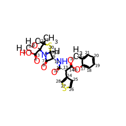 CO[C@@]1(C(=O)O)N2C(=O)[C@@H](NC(=O)[C@H](C(=O)Oc3ccccc3C)c3ccsc3)[C@H]2SC1(C)C